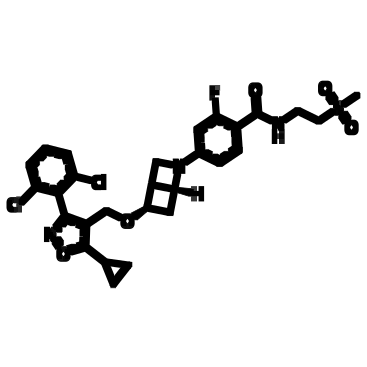 CS(=O)(=O)CCNC(=O)c1ccc(N2CC3[C@H]2C[C@H]3OCc2c(-c3c(Cl)cccc3Cl)noc2C2CC2)cc1F